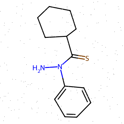 NN(C(=S)C1CCCCC1)c1ccccc1